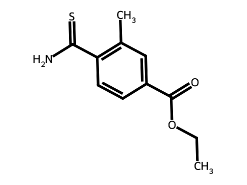 CCOC(=O)c1ccc(C(N)=S)c(C)c1